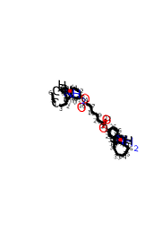 C[C@@]12CCCCCC[C@@H](Cc3ccc(OC(=O)CCCCC(=O)Oc4ccc5c(c4)[C@@]4(C)CCCCC[C@@H](C5)[C@@H]4N)cc31)[C@@H]2N